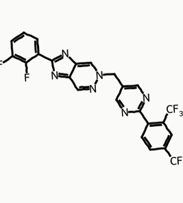 Fc1cccc(-c2nc3cnn(Cc4cnc(-c5ccc(C(F)(F)F)cc5C(F)(F)F)nc4)cc-3n2)c1F